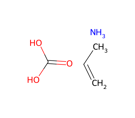 C=CC.N.O=C(O)O